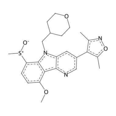 COc1ccc([S+](C)[O-])c2c1c1ncc(-c3c(C)noc3C)cc1n2CC1CCOCC1